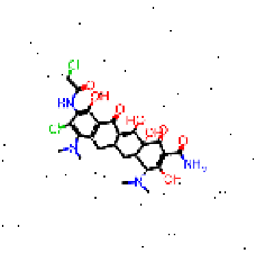 CN(C)c1c(Cl)c(NC(=O)CCl)c(O)c2c1CC1CC3[C@@H](N(C)C)C(O)=C(C(N)=O)C(=O)[C@]3(O)C(O)=C1C2=O